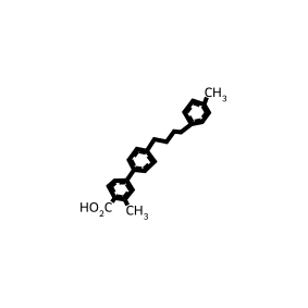 Cc1ccc(CCCCc2ccc(-c3ccc(C(=O)O)c(C)c3)cc2)cc1